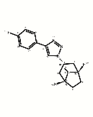 CN1[C@@H]2CC[C@H]1C[C@@H](n1cc(-c3ccc(F)cc3)nn1)C2